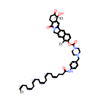 CC/C=C\C/C=C\C/C=C\C/C=C\C/C=C\C/C=C\CCC(=O)Nc1ccc(CN2CCN(C(=O)Oc3ccc4cc5c(cc4c3CC)Cn3c-5cc4c(c3=O)CCC(=O)[C@]4(O)CC)CC2)cc1